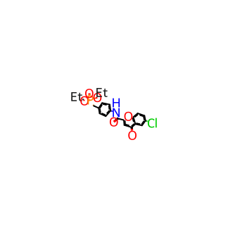 CCOP(=O)(Cc1ccc(NC(=O)c2cc(=O)c3cc(Cl)ccc3o2)cc1)OCC